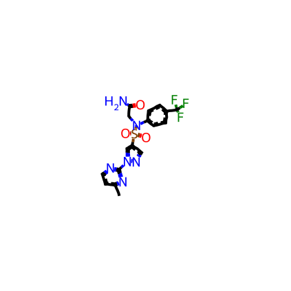 Cc1ccnc(-n2cc(S(=O)(=O)N(CC(N)=O)c3ccc(C(F)(F)F)cc3)cn2)n1